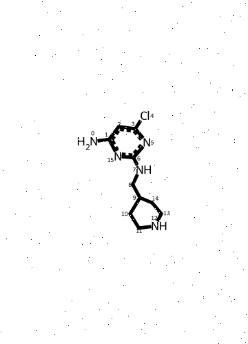 Nc1cc(Cl)nc(NCC2CCNCC2)n1